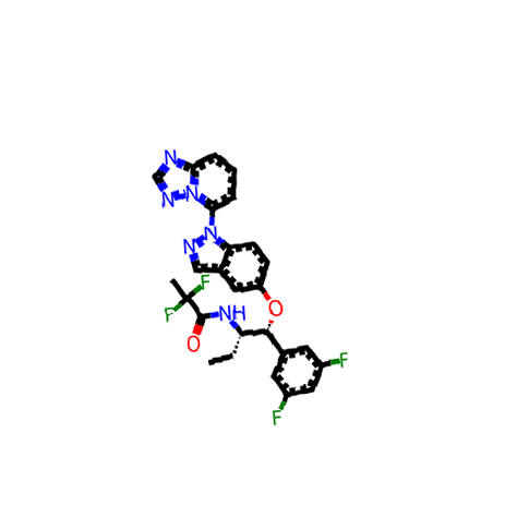 CC[C@H](NC(=O)C(C)(F)F)[C@H](Oc1ccc2c(cnn2-c2cccc3ncnn23)c1)c1cc(F)cc(F)c1